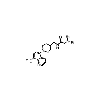 CCN(CC)CC(=O)NCC1CCN(c2ccc(C(F)(F)F)c3ncccc23)CC1